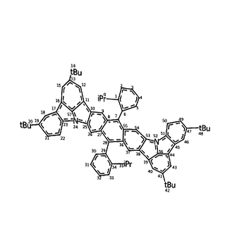 CC(C)c1ccccc1-c1c2cc3c4cc(C(C)(C)C)cc5c6cc(C(C)(C)C)ccc6n(c3cc2c(-c2ccccc2C(C)C)c2cc3c6cc(C(C)(C)C)cc7c8cc(C(C)(C)C)ccc8n(c3cc12)c76)c54